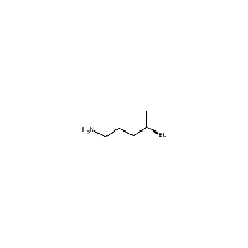 CC[C@H](C)CCCN